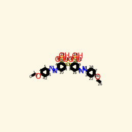 CCOc1ccc(/N=N/c2ccc(Sc3ccc(/N=N/c4ccc(OCC)cc4)cc3S(=O)(=O)O)c(S(=O)(=O)O)c2)cc1